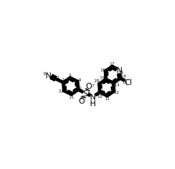 N#Cc1ccc(S(=O)(=O)Nc2ccc3c(Cl)nccc3c2)cc1